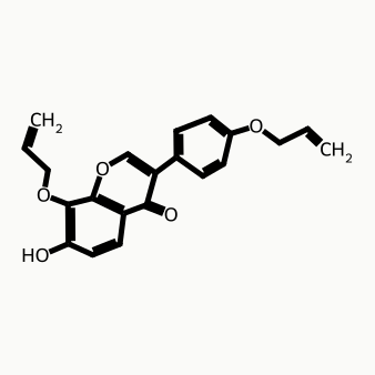 C=CCOc1ccc(-c2coc3c(OCC=C)c(O)ccc3c2=O)cc1